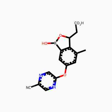 Cc1cc(Oc2cnc(C#N)cn2)cc2c1C(CC(=O)O)OB2O